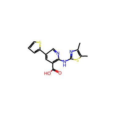 Cc1nc(Nc2ncc(-c3cccs3)cc2C(=O)O)sc1C